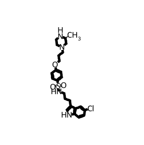 C[C@@H]1CN(CCCOc2ccc(S(=O)(=O)NCCCc3c[nH]c4ccc(Cl)cc34)cc2)CCN1